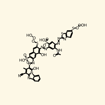 CC(=O)Nc1cc(N=Nc2c(SOOO)cc3cc(S(=O)(=O)O)c(N=Nc4c(C)c(C#N)c5nc6ccccc6n5c4O)cc3c2O)c(S(=O)(=O)O)cc1N=Nc1nc2ccc(SOOO)cc2s1